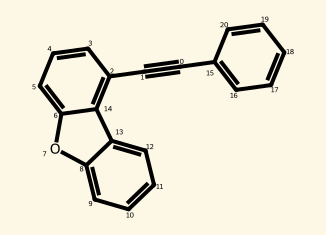 C(#Cc1cccc2oc3ccccc3c12)c1cc[c]cc1